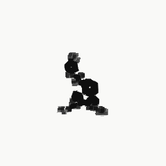 CC(C)(C)n1cc(-c2cccc(NC(=O)Nc3ccc(C(F)(F)F)cc3)c2)c(-c2ccnc(N)n2)n1